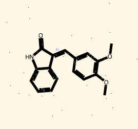 COc1ccc(/C=C2/C(=O)Nc3ccccc32)cc1OC